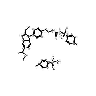 CCc1nc2cc(C(C)OC)ccc2n1-c1ccc(CCNC(=O)NS(=O)(=O)c2ccc(C)cc2)cc1.Cc1ccc(S(=O)(=O)O)cc1